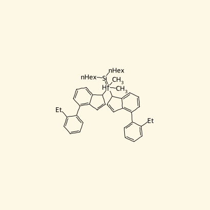 CCCCCC[Si](CCCCCC)=[Hf]([CH3])([CH3])([CH]1C=Cc2c(-c3ccccc3CC)cccc21)[CH]1C=Cc2c(-c3ccccc3CC)cccc21